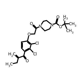 C=C(CC)C(=O)c1ccc(OCC(=O)N2CCN(C(=O)OC(C)(C)C)CC2)c(Cl)c1Cl